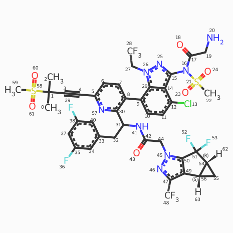 CC(C)(C#Cc1ccc(-c2ccc(Cl)c3c(N(C(=O)CN)S(C)(=O)=O)nn(CC(F)(F)F)c23)c(C(Cc2cc(F)cc(F)c2)NC(=O)Cn2nc(C(F)(F)F)c3c2C(F)(F)[C@@H]2C[C@H]32)n1)S(C)(=O)=O